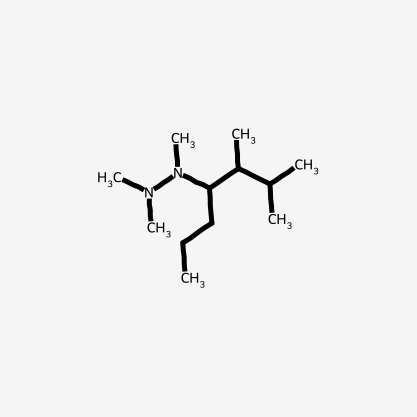 CCCC(C(C)C(C)C)N(C)N(C)C